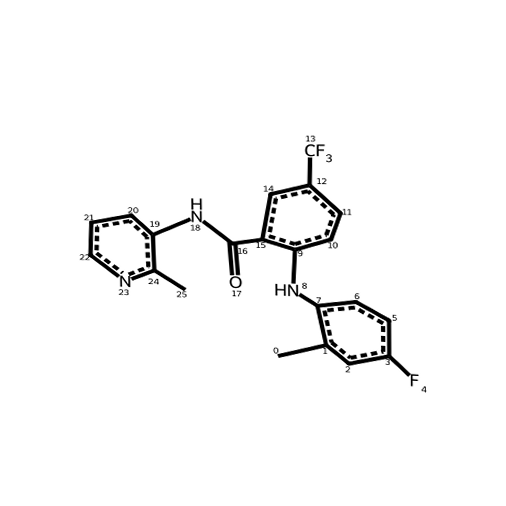 Cc1cc(F)ccc1Nc1ccc(C(F)(F)F)cc1C(=O)Nc1cccnc1C